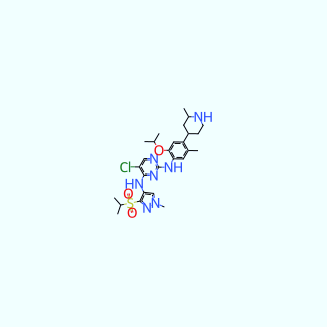 Cc1cc(Nc2ncc(Cl)c(Nc3cn(C)nc3S(=O)(=O)C(C)C)n2)c(OC(C)C)cc1C1CCNC(C)C1